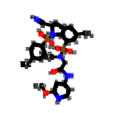 COc1cc(NC(=O)CN(C)S(=O)(=O)c2cc(C)cc3cc(C#N)n(S(=O)(=O)c4ccc(C)cc4)c23)ccn1